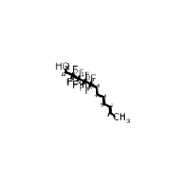 CCCCCCCC(F)(F)C(F)(F)C(F)(F)C(F)(F)CO